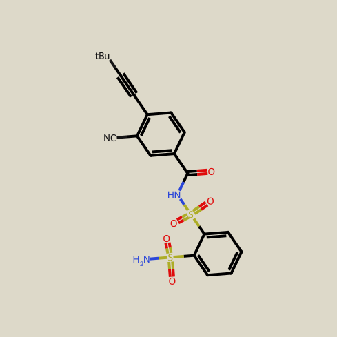 CC(C)(C)C#Cc1ccc(C(=O)NS(=O)(=O)c2ccccc2S(N)(=O)=O)cc1C#N